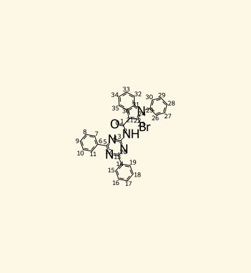 O=C(Nc1nc(-c2ccccc2)nc(-c2ccccc2)n1)c1c(Br)n(-c2ccccc2)c2ccccc12